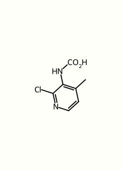 Cc1ccnc(Cl)c1NC(=O)O